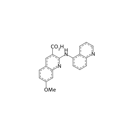 COc1ccc2cc(C(=O)O)c(Nc3cccc4ncccc34)nc2c1